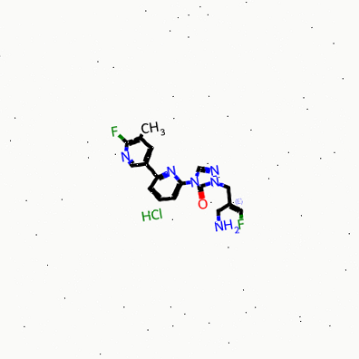 Cc1cc(-c2cccc(-n3cnn(C/C(=C/F)CN)c3=O)n2)cnc1F.Cl